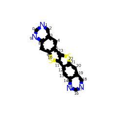 c1ncc2cc3c(cc2n1)sc1c2cc4ncncc4cc2sc31